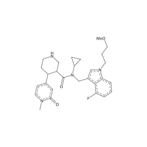 COCCCn1cc(CN(C(=O)C2CNCCC2c2ccn(C)c(=O)c2)C2CC2)c2c(F)cccc21